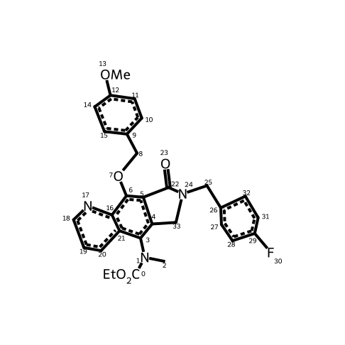 CCOC(=O)N(C)c1c2c(c(OCc3ccc(OC)cc3)c3ncccc13)C(=O)N(Cc1ccc(F)cc1)C2